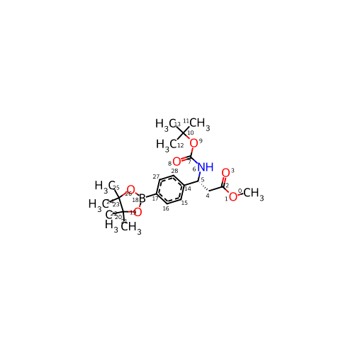 COC(=O)C[C@@H](NC(=O)OC(C)(C)C)c1ccc(B2OC(C)(C)C(C)(C)O2)cc1